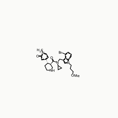 COCCCn1cc(CN(C(=O)[C@H]2CNCC[C@@H]2c2ccn(C)c(=O)c2)C2CC2)c2c(Br)cccc21